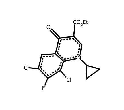 CCOC(=O)c1cn(C2CC2)c2c(Cl)c(F)c(Cl)cc2c1=O